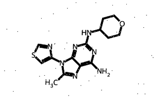 Cc1nc2c(N)nc(NC3CCOCC3)nc2n1-c1cscn1